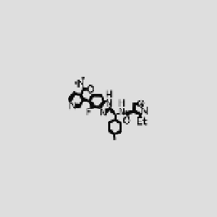 CCc1nocc1C(=O)N[C@H](c1nc2c(F)c(-c3cnccc3C(=O)N(C)C)ccc2[nH]1)C1CCC(C)CC1